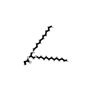 C=CC(=O)OC(CSCCCCCCCCCCCC)CSCCCCCCCCCCCC